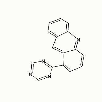 c1ccc2nc3cccc(-c4ncncn4)c3cc2c1